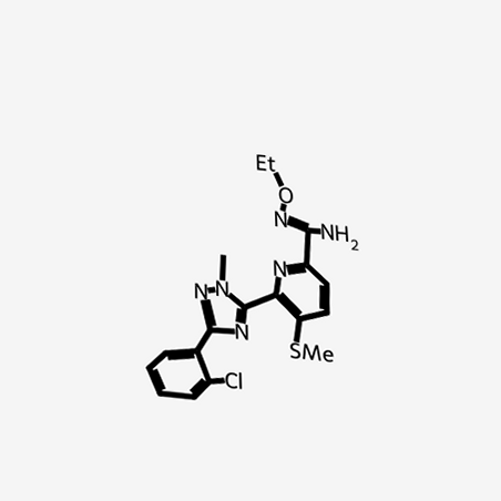 CCON=C(N)c1ccc(SC)c(-c2nc(-c3ccccc3Cl)nn2C)n1